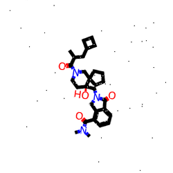 CC(CC1CCC1)C(=O)N1CC[C@@](O)(CN2Cc3c(C(=O)N(C)C)cccc3C2=O)C2(CCCC2)C1